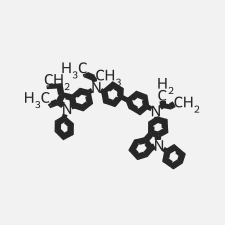 C=C/C=c1\c(=C/C)n(-c2ccccc2)c2ccc(N(/C(C)=C/C)c3ccc(-c4ccc(N(C(=C)C=C)c5ccc6c(c5)c5ccccc5n6-c5ccccc5)cc4)cc3)cc12